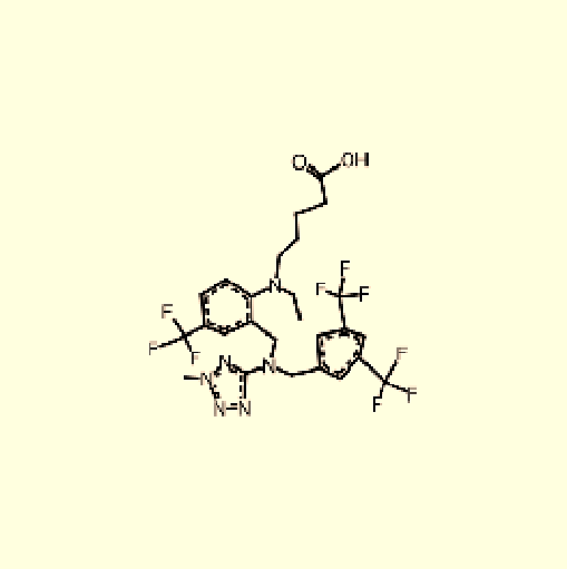 CCN(CCCCC(=O)O)c1ccc(C(F)(F)F)cc1CN(Cc1cc(C(F)(F)F)cc(C(F)(F)F)c1)c1nnn(C)n1